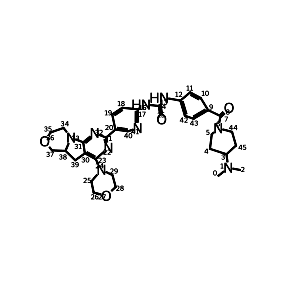 CN(C)C1CCN(C(=O)c2ccc(NC(=O)Nc3ccc(-c4nc(N5CCOCC5)c5c(n4)N4CCOCC4C5)cn3)cc2)CC1